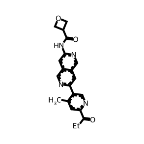 CCC(=O)c1cc(C)c(-c2cc3cnc(NC(=O)C4COC4)cc3cn2)cn1